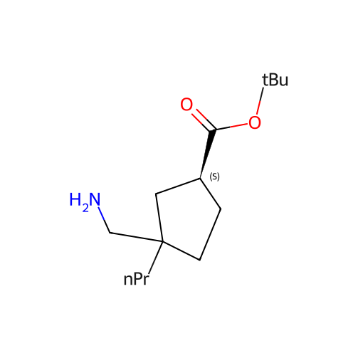 CCCC1(CN)CC[C@H](C(=O)OC(C)(C)C)C1